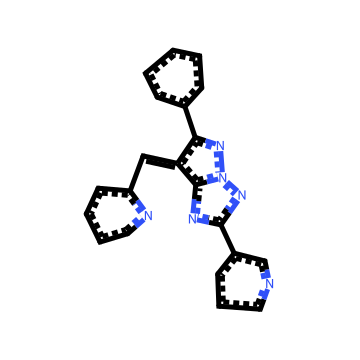 C(/c1ccccn1)=c1\c(-c2ccccc2)nn2nc(-c3cccnc3)nc12